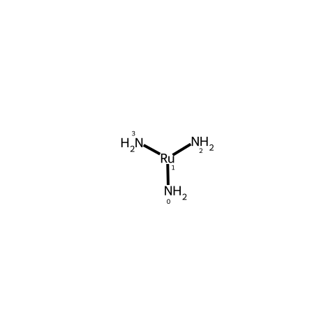 [NH2][Ru]([NH2])[NH2]